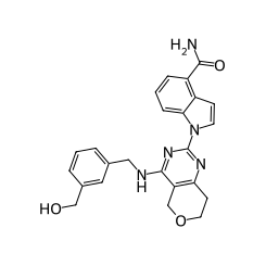 NC(=O)c1cccc2c1ccn2-c1nc2c(c(NCc3cccc(CO)c3)n1)COCC2